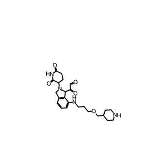 O=CC(=O)C1c2c(cccc2NCCCOCC2CCNCC2)CN1C1CCC(=O)NC1=O